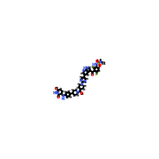 CCN(C)S(=O)(=O)Nc1ccc(F)c(C(=O)c2c[nH]c3ncc(-c4cnc(N5CCC(C(=O)N6CCC(c7ccc(NC8CCC(=O)NC8=O)cc7)CC6)CC5)nc4)cc23)c1F